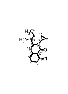 CC[C@@H](N)c1nc2cccc(Cl)c2c(=O)n1C1CC1